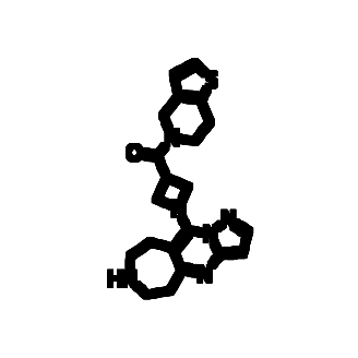 O=C(C1CN(c2c3c(nc4ccnn24)CCNCC3)C1)N1CCc2sccc2C1